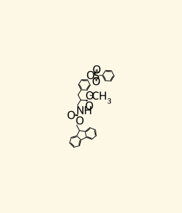 COC(=O)C(CNC(=O)OCC1c2ccccc2-c2ccccc21)Cc1ccc(OS(=O)(=O)c2ccccc2)cc1